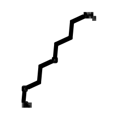 CCC(C)OCCOCCCN